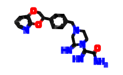 N=C1CN(Cc2ccc(C3COc4cccnc4O3)cc2)CCN1C(=N)C(N)=O